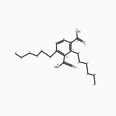 CCCCCCc1ccc(C(=O)O)c(CCCCCC)c1C(=O)O